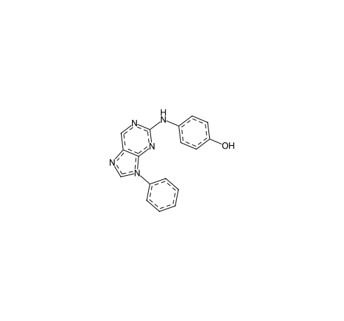 Oc1ccc(Nc2ncc3ncn(-c4ccccc4)c3n2)cc1